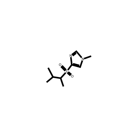 CC(C)C(C)S(=O)(=O)c1cn(C)cn1